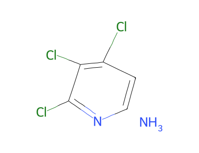 Clc1ccnc(Cl)c1Cl.N